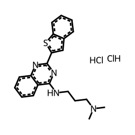 CN(C)CCCNc1nc(-c2cc3ccccc3s2)nc2ccccc12.Cl.Cl